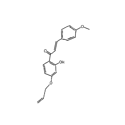 C=CCOc1ccc(C(=O)/C=C/c2ccc(OC)cc2)c(O)c1